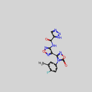 Bc1cc(-n2c(-c3nonc3NC(=O)c3cnn[nH]3)noc2=O)ccc1F